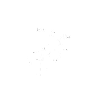 CC(=O)CC(F)(S(=O)(=O)O)S(=O)(=O)C12CC3CC(CC(C3)C1)C2